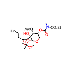 CCOC(=O)N(C)C(=O)O[C@@H]1CO[C@]2(COC(C)(C)O2)[C@@](O)([C@H]2O[C@H]2CCC(C)C)[C@@H]1OC